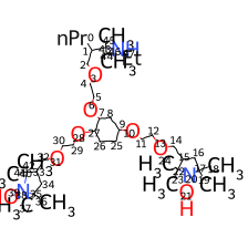 CCCC(COCCOC1CC(OCCOCC2CC(C)(C)N(O)C2(C)C)CCC1OCCOCC1CC(C)(C)N(O)C1(C)C)C(C)(C)NCC